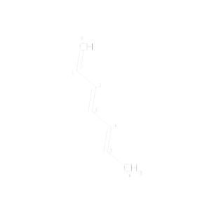 [CH]=CC=C/C=[C]/C